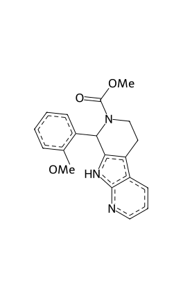 COC(=O)N1CCc2c([nH]c3ncccc23)C1c1ccccc1OC